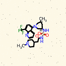 C[C@H]1C[C@@H](NS(=O)(=O)NC(=O)CC2CCN(C)CC2)CN(c2ccc(C(F)(F)F)c3ncccc23)C1